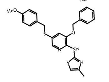 COc1ccc(CSc2cnc(Nc3nc(C)cs3)c(OCc3ccccc3)c2)cc1.Cl